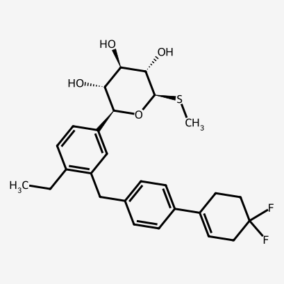 CCc1ccc([C@@H]2O[C@H](SC)[C@@H](O)[C@H](O)[C@H]2O)cc1Cc1ccc(C2=CCC(F)(F)CC2)cc1